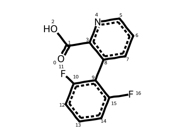 O=C(O)c1ncccc1-c1c(F)cccc1F